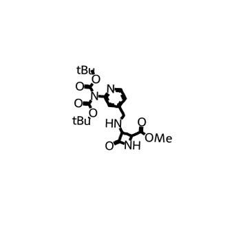 COC(=O)C1NC(=O)C1NCc1ccnc(N(C(=O)OC(C)(C)C)C(=O)OC(C)(C)C)c1